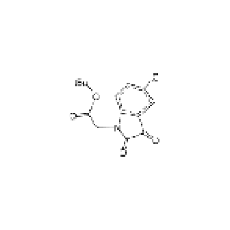 CC(C)(C)OC(=O)CN1C(=O)C(=O)c2cc(Cl)ccc21